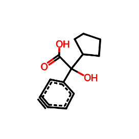 O=C(O)C(O)(c1cc#ccc1)C1CCCC1